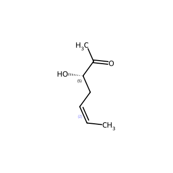 C/C=C\C[C@H](O)C(C)=O